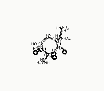 CC(=O)N[C@@H](CCCNC(=N)N)C(=O)N[C@H]1CCC(=O)NCCCC(C(=O)O)NC(=O)[C@H](Cc2c[nH]c3ccccc23)NC(=O)[C@H](CCCNC(=N)N)NC(=O)C(Cc2ccccc2)NC(=O)[C@H](COCc2ccccc2)NC1=O